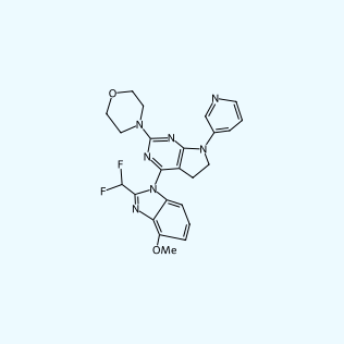 COc1cccc2c1nc(C(F)F)n2-c1nc(N2CCOCC2)nc2c1CCN2c1cccnc1